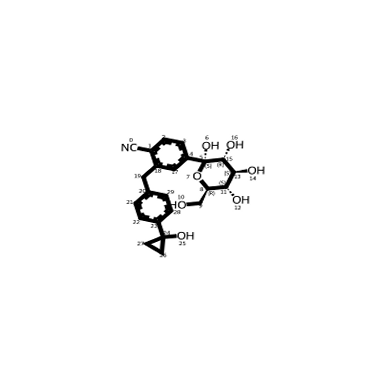 N#Cc1ccc([C@]2(O)O[C@H](CO)[C@@H](O)[C@H](O)[C@H]2O)cc1Cc1ccc(C2(O)CC2)cc1